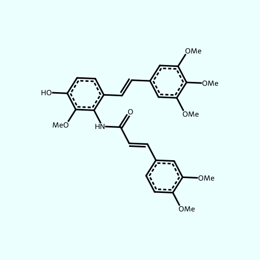 COc1ccc(/C=C/C(=O)Nc2c(C=Cc3cc(OC)c(OC)c(OC)c3)ccc(O)c2OC)cc1OC